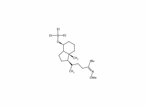 CC[Si](CC)(CC)O[C@H]1CCC[C@@]2(C)C1CC[C@@H]2C(C)CC/C(=N\OC)C(C)(C)C